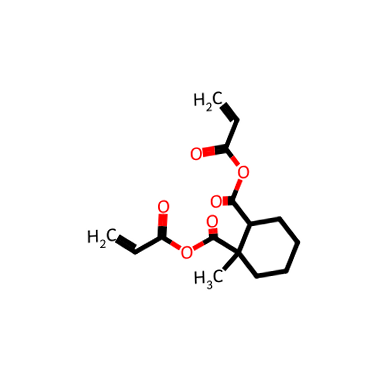 C=CC(=O)OC(=O)C1CCCCC1(C)C(=O)OC(=O)C=C